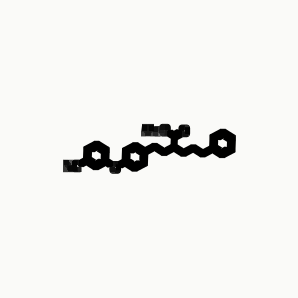 COC(=O)C(CCCc1ccccc1)CCc1ccc(Oc2cccc(C#N)c2)cc1